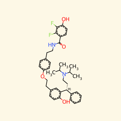 CC(C)N(CC[C@H](c1ccccc1)c1cc(CCOc2ccc(CCNC(=O)c3ccc(O)c(F)c3F)cc2)ccc1O)C(C)C